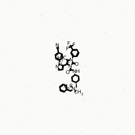 Cc1c(-c2ccnn2-c2ccc(C#N)cc2)n(C(=O)N[C@H]2CC[C@H](C[N+](C)(C)Cc3ccccc3)CC2)c(=O)n1-c1cccc(C(F)(F)F)c1